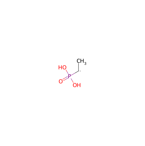 C[CH]P(=O)(O)O